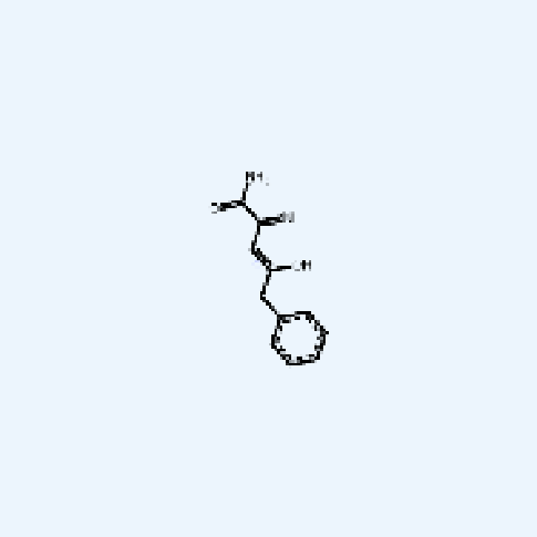 N=C(/C=C(\O)Cc1ccccc1)C(N)=O